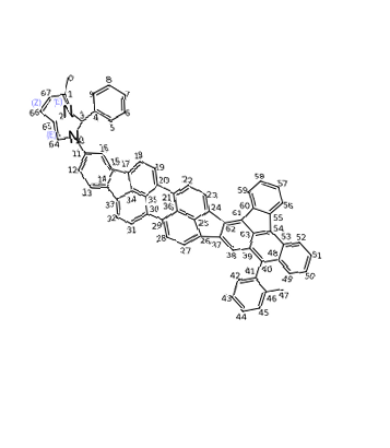 CC1=N\C(c2ccccc2)N(c2ccc3c(c2)-c2ccc4c5ccc6c7c(ccc(c8ccc-3c2c84)c57)c2cc3c(-c4ccccc4C)c4ccccc4c4c5ccccc5c(c26)c34)/C=C/C=C\1